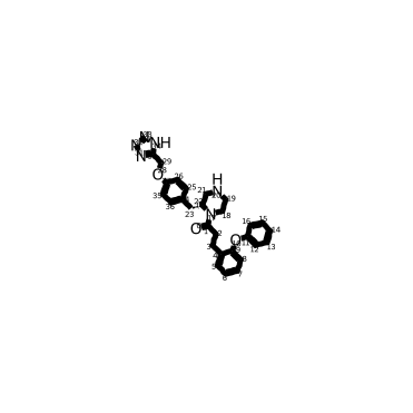 O=C(CCc1ccccc1Oc1ccccc1)N1CCNC[C@H]1Cc1ccc(OCc2nnn[nH]2)cc1